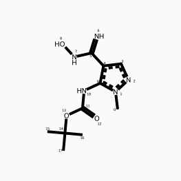 Cn1ncc(C(=N)NO)c1NC(=O)OC(C)(C)C